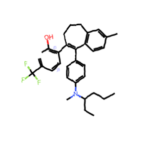 C=C(/C=C\C(C1=C(c2ccc(N(C)C(CC)CCC)cc2)c2ccc(C)cc2CCC1)=C(/C)O)C(F)(F)F